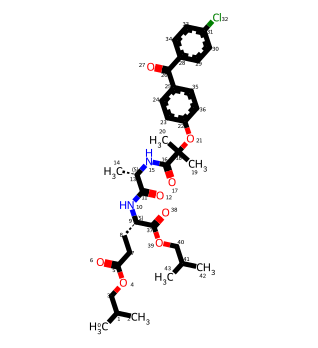 CC(C)COC(=O)CC[C@H](NC(=O)[C@H](C)NC(=O)C(C)(C)Oc1ccc(C(=O)c2ccc(Cl)cc2)cc1)C(=O)OCC(C)C